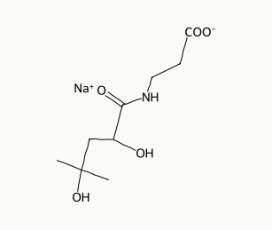 CC(C)(O)CC(O)C(=O)NCCC(=O)[O-].[Na+]